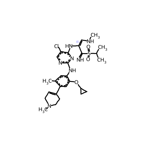 CN/C=C(/Nc1nc(Nc2cc(C)c(C3=CCN(C)CC3)cc2OC2CC2)ncc1Cl)C(=N)S(=O)(=O)C(C)C